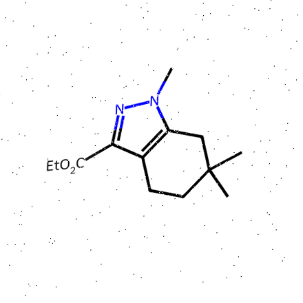 CCOC(=O)c1nn(C)c2c1CCC(C)(C)C2